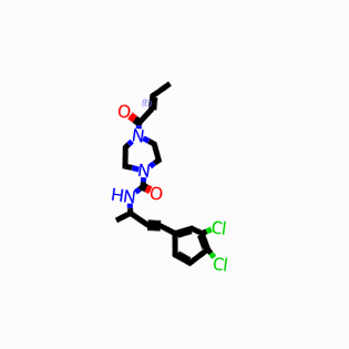 C/C=C/C(=O)N1CCN(C(=O)NC(C)C#Cc2ccc(Cl)c(Cl)c2)CC1